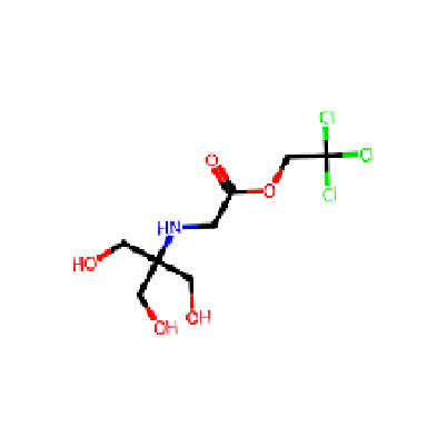 O=C(CNC(CO)(CO)CO)OCC(Cl)(Cl)Cl